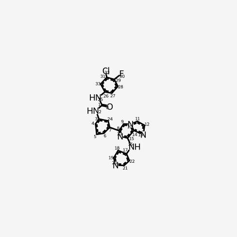 O=C(Nc1cccc(-c2cn3ccnc3c(Nc3ccncc3)n2)c1)Nc1ccc(F)c(Cl)c1